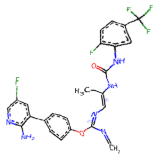 C=N/C(=N\C=C(/C)NC(=O)Nc1cc(C(F)(F)F)ccc1F)Oc1ccc(-c2cc(F)cnc2N)cc1